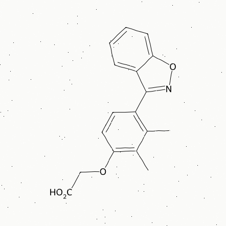 Cc1c(OCC(=O)O)ccc(-c2noc3ccccc23)c1C